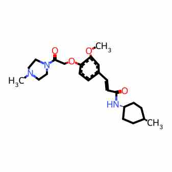 COc1cc(C=CC(=O)N[C@H]2CC[C@H](C)CC2)ccc1OCC(=O)N1CCN(C)CC1